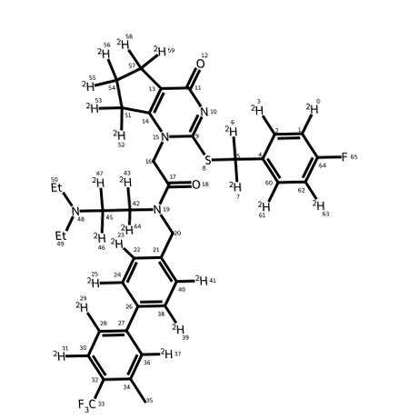 [2H]c1c([2H])c(C([2H])([2H])Sc2nc(=O)c3c(n2CC(=O)N(Cc2c([2H])c([2H])c(-c4c([2H])c([2H])c(C(F)(F)F)c(C)c4[2H])c([2H])c2[2H])C([2H])([2H])C([2H])([2H])N(CC)CC)C([2H])([2H])C([2H])([2H])C3([2H])[2H])c([2H])c([2H])c1F